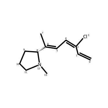 C=C/C(Cl)=C\C=C(/C)[C@H]1CCCN1C